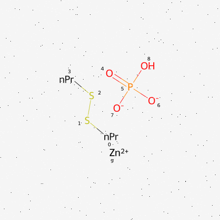 CCCSSCCC.O=P([O-])([O-])O.[Zn+2]